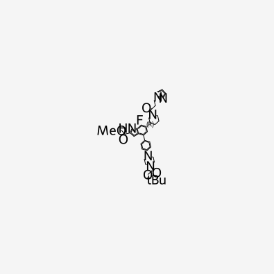 COC(=O)c1cc2c(-c3ccc(N4CCN(C(=O)OC(C)(C)C)CC4)cc3)cc([C@H]3CCCN(C(=O)CCn4cccn4)C3)c(F)c2[nH]1